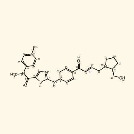 CN(C(=O)c1cnc(Nc2ccc(C(=O)/C=C/CN3CCCC3CO)cc2)s1)c1ccc(F)cc1